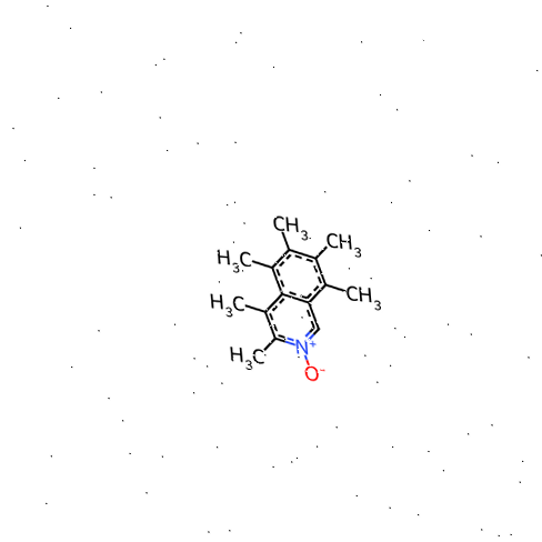 Cc1c(C)c(C)c2c(C)c(C)[n+]([O-])cc2c1C